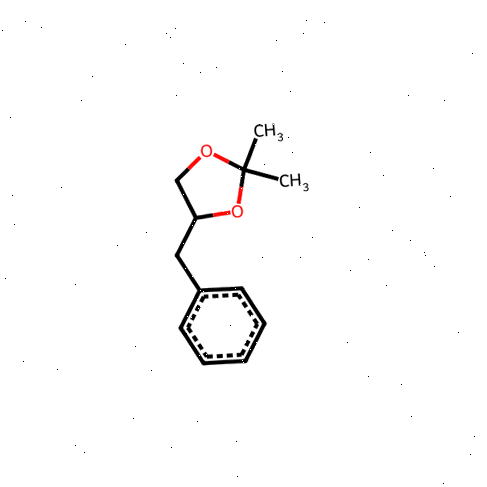 CC1(C)OCC(Cc2ccccc2)O1